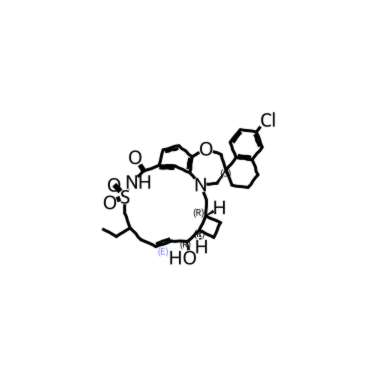 CCC1C/C=C/[C@H](O)[C@@H]2CC[C@H]2CN2C[C@@]3(CCCc4cc(Cl)ccc43)COc3ccc(cc32)C(=O)NS(=O)(=O)C1